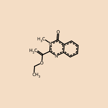 C=C(OCC)c1nc2ccccc2c(=O)n1C